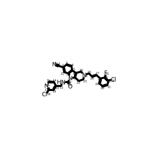 N#Cc1ccc2c3c(n(C(=O)NCc4ccnc(Cl)c4)c2c1)CCN(CC=Cc1cccc(Cl)c1F)C3